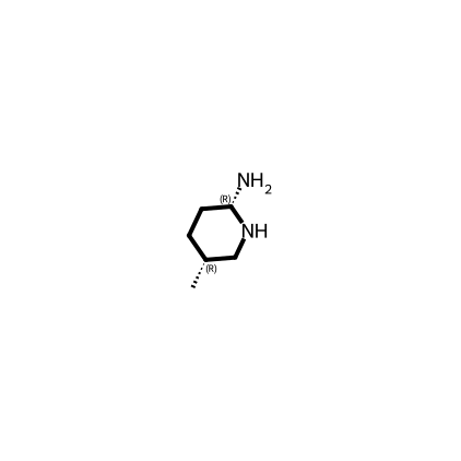 C[C@@H]1CC[C@H](N)NC1